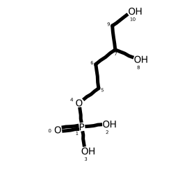 O=P(O)(O)OCCC(O)CO